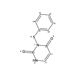 O=c1cc[nH]c(=O)n1Sc1ccccc1